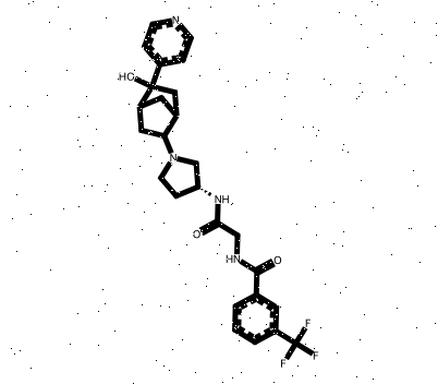 O=C(CNC(=O)c1cccc(C(F)(F)F)c1)N[C@@H]1CCN(C2CC3CC2CC3(O)c2ccncc2)C1